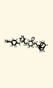 N#Cc1ccc(Cn2cncc2CN2CCN(CCC34CC5CC(CC(C5)C3)C4)C(=O)C2)cc1